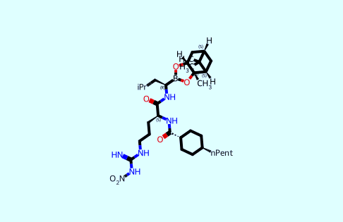 CCCCC[C@H]1CC[C@H](C(=O)N[C@@H](CCCNC(=N)N[N+](=O)[O-])C(=O)N[C@@H](CC(C)C)B2O[C@@H]3C[C@@H]4C[C@@H](C4(C)C)[C@]3(C)O2)CC1